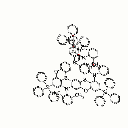 Cc1ccccc1N1c2cc3c(cc2B2c4cc5c(cc4Oc4cc([Si](c6ccccc6)(c6ccccc6)c6ccccc6)cc1c42)N(c1c(C)cccc1C)c1cc([Si](c2ccccc2)(c2ccccc2)c2ccccc2)cc2c1B5c1ccccc1O2)B1c2ccccc2N(c2ccccc2)c2cc([Si](c4ccccc4)(c4ccccc4)c4ccccc4)cc(c21)N3c1c(C)cccc1C